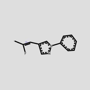 [CH2]/C(F)=C/c1cnn(-c2ccccc2)c1